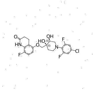 O=C1CCc2c(OC[C@@]3(O)CCN(c4c(F)cc(Cl)cc4F)C[C@@H]3O)ccc(F)c2N1